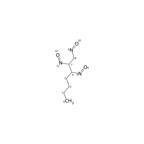 CCCCC(N=O)C(CN=O)N=O